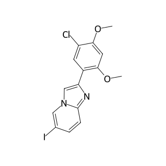 COc1cc(OC)c(-c2cn3cc(I)ccc3n2)cc1Cl